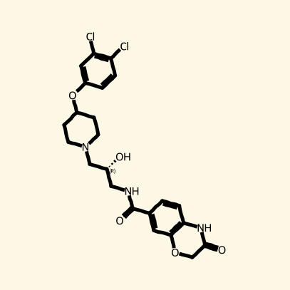 O=C1COc2cc(C(=O)NC[C@@H](O)CN3CCC(Oc4ccc(Cl)c(Cl)c4)CC3)ccc2N1